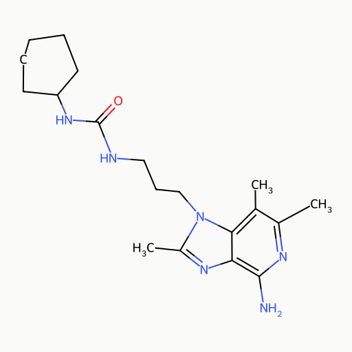 Cc1nc(N)c2nc(C)n(CCCNC(=O)NC3CCCCC3)c2c1C